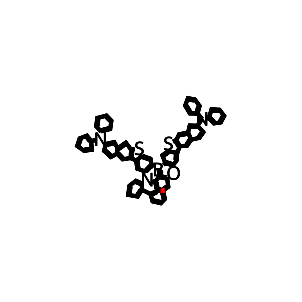 c1ccc(-c2ccccc2N2c3cc4c(cc3B3c5cc6sc7cc8cc(N(c9ccccc9)c9ccccc9)ccc8cc7c6cc5Oc5cccc2c53)sc2cc3cc(N(c5ccccc5)c5ccccc5)ccc3cc24)cc1